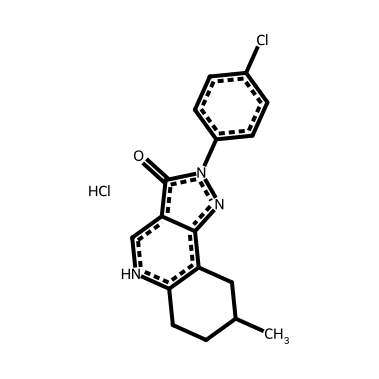 CC1CCc2[nH]cc3c(=O)n(-c4ccc(Cl)cc4)nc-3c2C1.Cl